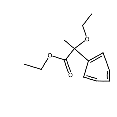 CCOC(=O)C(C)(OCC)c1ccccc1